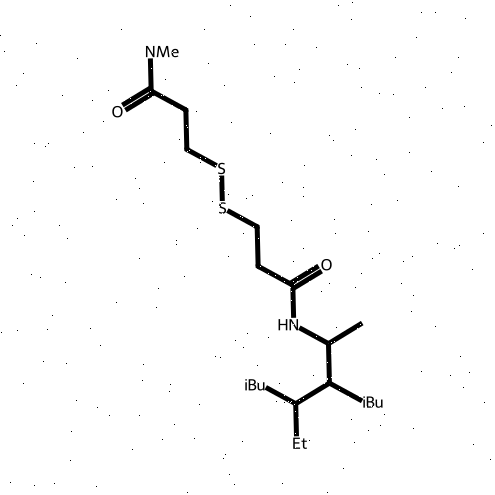 CCC(C)C(CC)C(C(C)CC)C(C)NC(=O)CCSSCCC(=O)NC